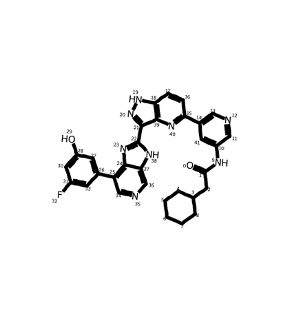 O=C(CC1CCCCC1)Nc1cncc(-c2ccc3[nH]nc(-c4nc5c(-c6cc(O)cc(F)c6)cncc5[nH]4)c3n2)c1